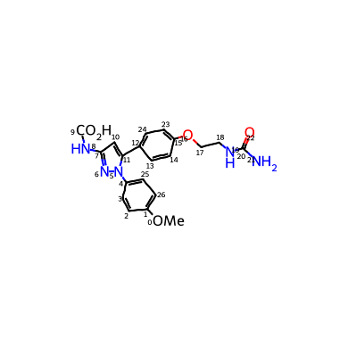 COc1ccc(-n2nc(NC(=O)O)cc2-c2ccc(OCCNC(N)=O)cc2)cc1